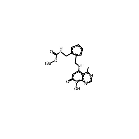 Cc1ncnc2c1c(NCc1ccccc1CNC(=O)OC(C)(C)C)cc(=O)n2O